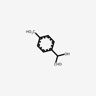 O=[C]C(O)c1ccc(C(=O)O)cc1